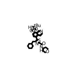 CC(C)(C)NS(=O)(=O)c1ccc(-c2sc(C(=O)NC3CCOCC3)nc2CC2CCCCC2)c2ccncc12